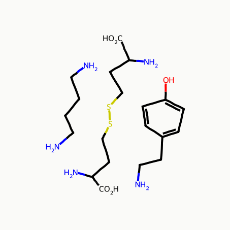 NC(CCSSCCC(N)C(=O)O)C(=O)O.NCCCCN.NCCc1ccc(O)cc1